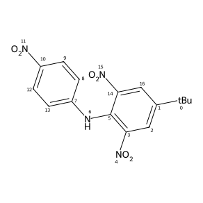 CC(C)(C)c1cc([N+](=O)[O-])c(Nc2ccc([N+](=O)[O-])cc2)c([N+](=O)[O-])c1